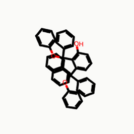 Oc1cccc(C(Oc2ccccc2)(c2ccccc2)c2ccccc2)c1C(Oc1ccccc1)(c1ccccc1)c1ccccc1